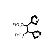 CCOC(=O)C(c1ccsc1)C(C(=O)OCC)c1ccsc1